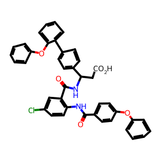 O=C(O)CC(NC(=O)c1cc(Cl)ccc1NC(=O)c1ccc(Oc2ccccc2)cc1)c1ccc(-c2ccccc2Oc2ccccc2)cc1